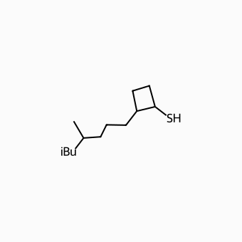 CCC(C)C(C)CCCC1CCC1S